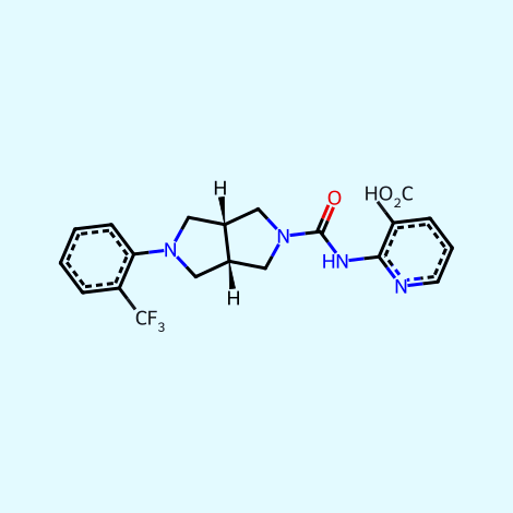 O=C(O)c1cccnc1NC(=O)N1C[C@@H]2CN(c3ccccc3C(F)(F)F)C[C@@H]2C1